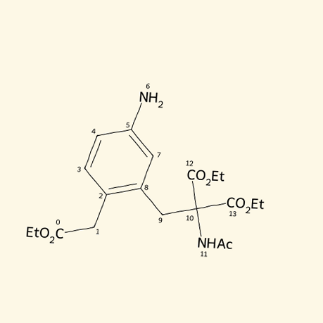 CCOC(=O)Cc1ccc(N)cc1CC(NC(C)=O)(C(=O)OCC)C(=O)OCC